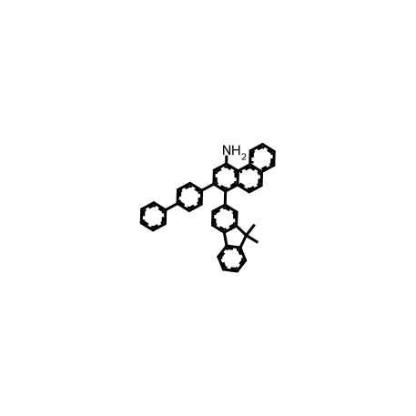 CC1(C)c2ccccc2-c2ccc(-c3c(-c4ccc(-c5ccccc5)cc4)cc(N)c4c3ccc3ccccc34)cc21